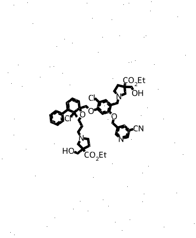 CCOC(=O)C1(CO)CCN(CCCOC2(COc3cc(OCc4cncc(C#N)c4)c(CN4CCC(CO)(C(=O)OCC)C4)cc3Cl)C=CC=C(c3ccccc3)C2(C)Cl)C1